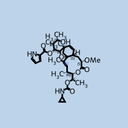 CO[C@H]1C[C@H]2C=C[C@]3(C)C[C@]2(O[C@H]3[C@H](OC(=O)c2ccc[nH]2)[C@H](C)[C@H](C)O)/C(C)=C/[C@@H](C)[C@@H]([C@@H](C)OC(=O)NC2CC2)OC1=O